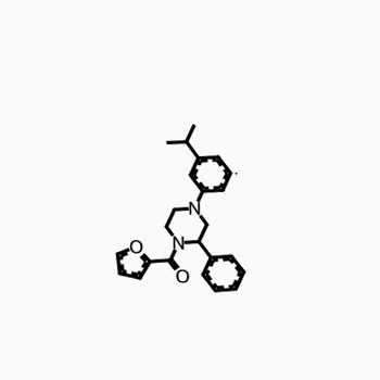 CC(C)c1c[c]cc(N2CCN(C(=O)c3ccco3)C(c3ccccc3)C2)c1